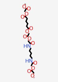 COCC(=O)OCC(=O)NCCCCCNC(=O)COC(=O)COC(=O)CCCCC(=O)OCC(=O)OC